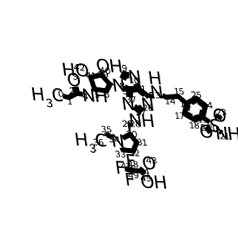 CCC(=O)N[C@H]1C[C@@H](n2cnc3c(NCCc4ccc(S(N)(=O)=O)cc4)nc(NC[C@H]4CCCN4CC)nc32)[C@H](O)[C@@H]1O.O=C(O)C(F)(F)F